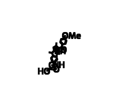 COc1ccc(C(=O)c2[nH]c(C(C)c3ccc(NS(=O)(=O)CCO)cc3F)cc2C)cc1